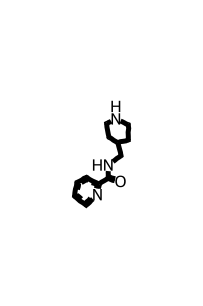 O=C(NCC1CCNCC1)c1ccccn1